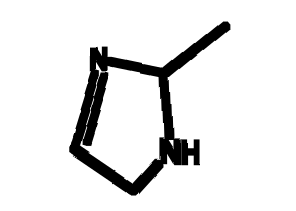 CC1N=CCN1